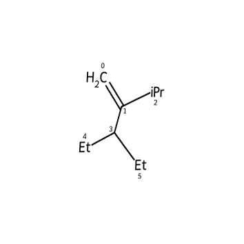 C=C(C(C)C)C(CC)CC